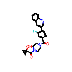 O=C(c1ccc(-c2cnc3ccccc3c2)c(F)c1)N1CCN(C(=O)C2(O)CC2)CC1